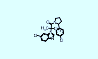 CC(C)(C(=O)N1CCCC1c1ccc(Cl)cc1)n1cnc2ccc(Cl)cc21